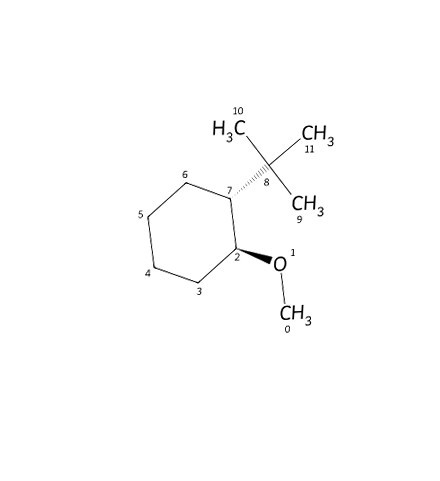 CO[C@H]1CCCC[C@@H]1C(C)(C)C